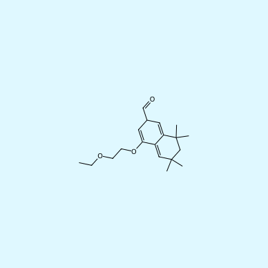 CCOCCOC1=CC(C=O)C=C2C1=CC(C)(C)CC2(C)C